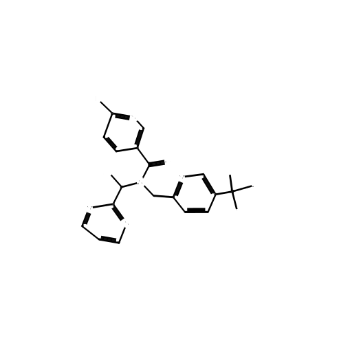 CC(c1ncccn1)N(Cc1ccc(C(F)(F)F)cn1)C(=O)c1ccc(F)nc1